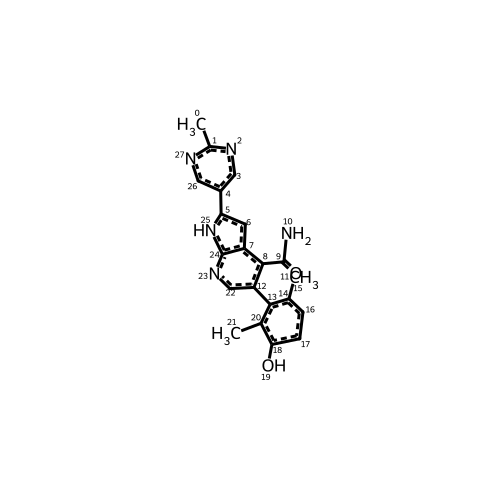 Cc1ncc(-c2cc3c(C(N)=O)c(-c4c(C)ccc(O)c4C)cnc3[nH]2)cn1